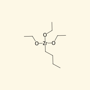 CCC[CH2][Zr]([O]CC)([O]CC)[O]CC